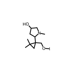 CN1CC(O)CC1C1(COI)CC1(C)C